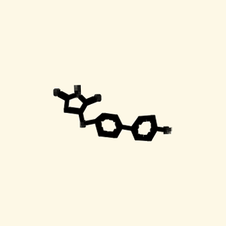 O=C1C=C(Sc2ccc(-c3ccc(Br)cc3)cc2)C(=O)N1